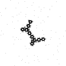 c1ccc(-c2ccc(-c3nc(-c4ccc(-c5ccc(-c6nc(-c7ccc(-c8ccccc8)cc7)c7sc8ccccc8c7n6)cc5)cc4)c4sc5ccccc5c4n3)cc2)cc1